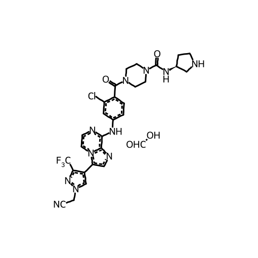 N#CCn1cc(-c2cnc3c(Nc4ccc(C(=O)N5CCN(C(=O)N[C@H]6CCNC6)CC5)c(Cl)c4)nccn23)c(C(F)(F)F)n1.O=CO